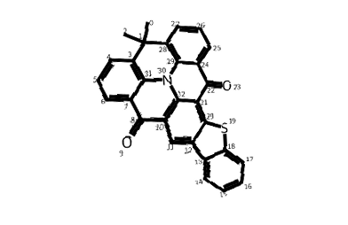 CC1(C)c2cccc3c(=O)c4cc5c6ccccc6sc5c5c(=O)c6cccc1c6n(c23)c45